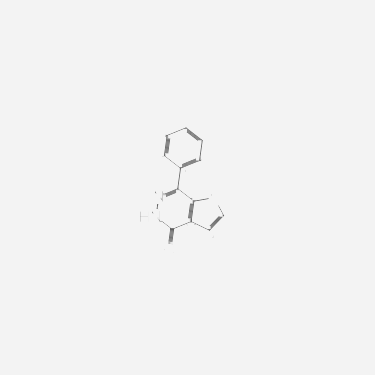 O=c1[nH]nc(-c2ccccc2)c2sccc12